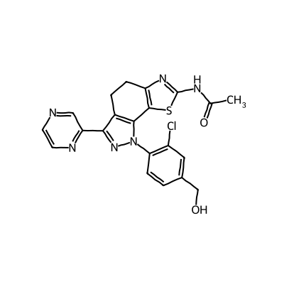 CC(=O)Nc1nc2c(s1)-c1c(c(-c3cnccn3)nn1-c1ccc(CO)cc1Cl)CC2